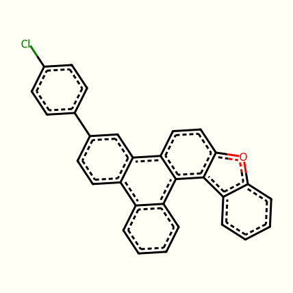 Clc1ccc(-c2ccc3c4ccccc4c4c(ccc5oc6ccccc6c54)c3c2)cc1